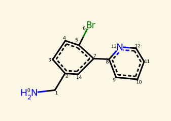 NCc1ccc(Br)c(-c2ccccn2)c1